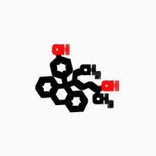 C=C/C(=C\C=C(/C)O)C1(c2ccc(O)cc2)c2ccccc2Cc2ccccc21